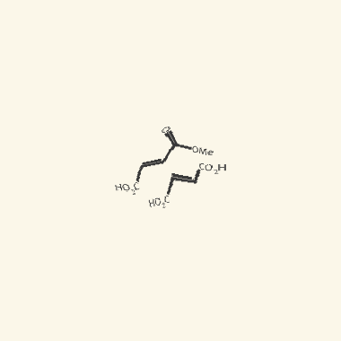 COC(=O)/C=C/C(=O)O.O=C(O)/C=C/C(=O)O